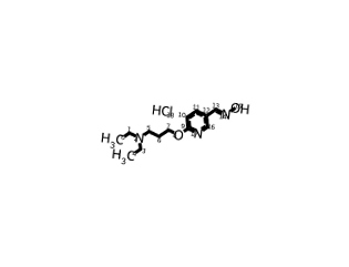 CCN(CC)CCCOc1ccc(/C=N/O)cn1.Cl